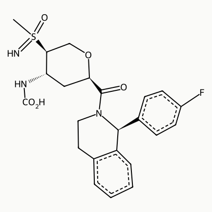 CS(=N)(=O)[C@H]1CO[C@@H](C(=O)N2CCc3ccccc3[C@@H]2c2ccc(F)cc2)C[C@@H]1NC(=O)O